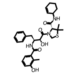 Cc1c(O)cccc1C(=O)N[C@@H](Cc1ccccc1)[C@H](O)C(=O)N1CSC(C)(C)[C@H]1C(=O)NC1C=CCCC1